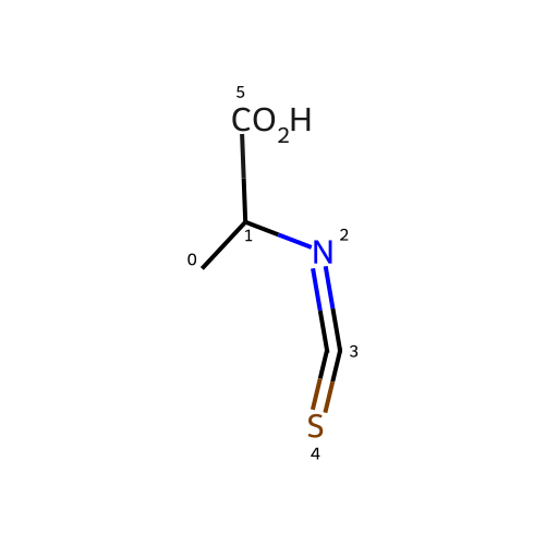 CC(N=C=S)C(=O)O